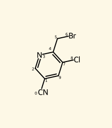 N#Cc1cnc(CBr)c(Cl)c1